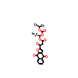 CCC(CC)OC(=O)OC(C)OC(=O)CC(=O)c1cc2c(o1)C(=O)c1ccccc1C2=O